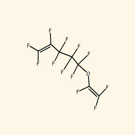 FC(F)=C(F)OC(F)(F)C(F)(F)C(F)(F)C(F)=C(F)F